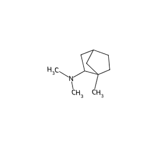 CN(C)C1CC2CCC1(C)C2